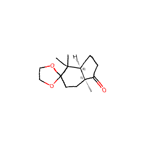 CC1(C)[C@H]2CCC(=O)[C@@]2(C)CCC12OCCO2